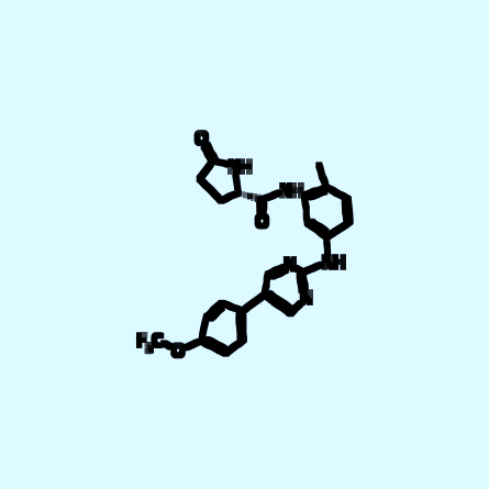 Cc1ccc(Nc2ncc(-c3ccc(OC(F)(F)F)cc3)cn2)cc1NC(=O)[C@@H]1CCC(=O)N1